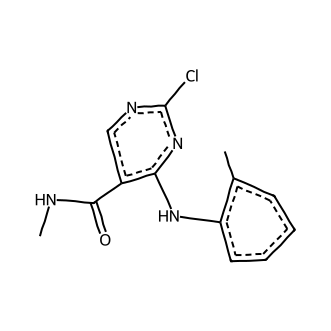 CNC(=O)c1cnc(Cl)nc1Nc1ccccc1C